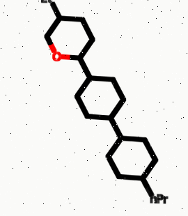 CCCC1CCC(C2CCC(C3CCC(CC)CO3)CC2)CC1